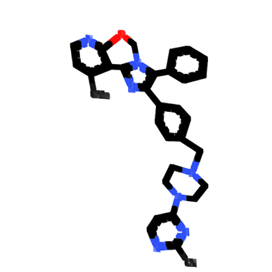 COc1ccnc2c1-c1nc(-c3ccc(CN4CCN(c5ccnc(C#N)n5)CC4)cc3)c(-c3ccccc3)n1CO2